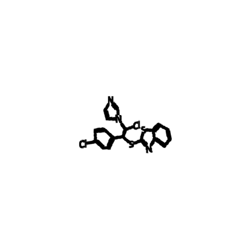 Clc1ccc(C(Sc2nc3ccccc3s2)C(Cl)n2ccnc2)cc1